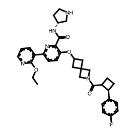 CCOc1ncccc1-c1ccc(OC2CC3(C2)CN(C(=O)C2CCC2c2ccc(F)cc2)C3)c(C(=O)N[C@@H]2CCNC2)n1